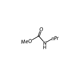 [CH2]OC(=O)NCCC